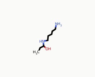 CCC(O)NCCCCCN